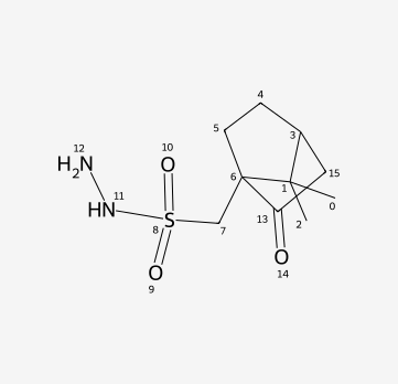 CC1(C)C2CCC1(CS(=O)(=O)NN)C(=O)C2